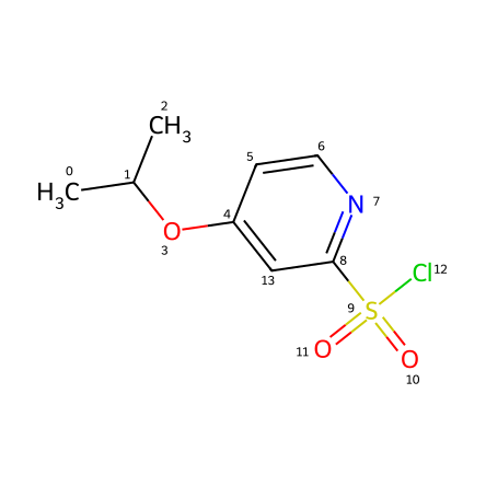 CC(C)Oc1ccnc(S(=O)(=O)Cl)c1